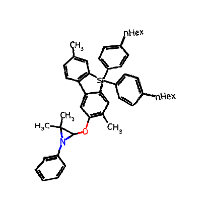 CCCCCCc1ccc([Si]2(c3ccc(CCCCCC)cc3)c3cc(C)ccc3-c3cc(OC4N(c5ccccc5)C4(C)C)c(C)cc32)cc1